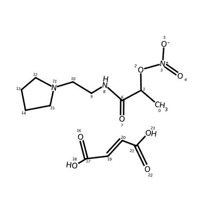 CC(O[N+](=O)[O-])C(=O)NCCN1CCCC1.O=C(O)C=CC(=O)O